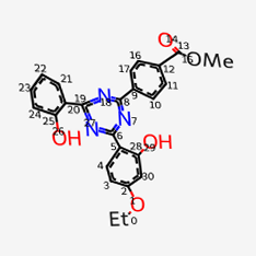 CCOc1ccc(-c2nc(-c3ccc(C(=O)OC)cc3)nc(-c3ccccc3O)n2)c(O)c1